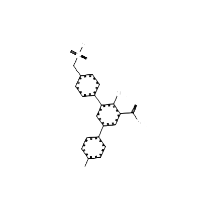 NC(=O)c1cc(-c2ccc(F)cc2)cc(-c2ccc(CS(N)(=O)=O)cc2)c1N